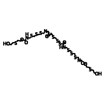 O=C(NCSCSCSC/N=C\[S+]([O-])CSCSCSC(=O)NCSCSCSC/N=C/OOCCSCCO)OCCSCCO